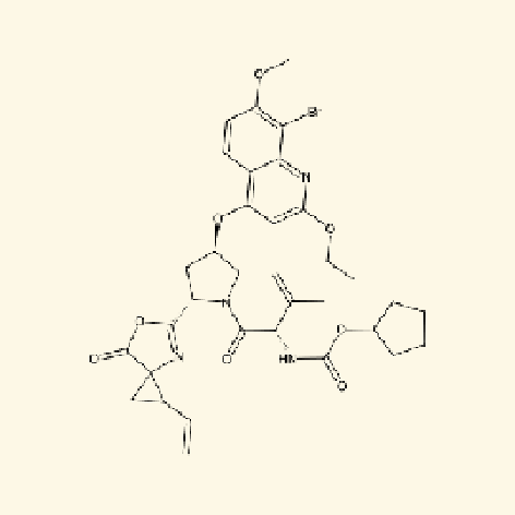 C=CC1CC12N=C([C@@H]1C[C@@H](Oc3cc(OCC)nc4c(Br)c(OC)ccc34)CN1C(=O)[C@@H](NC(=O)OC1CCCC1)C(=C)C)OC2=O